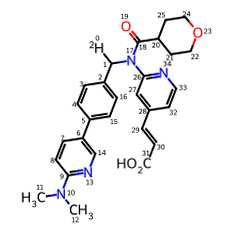 [2H]C(c1ccc(-c2ccc(N(C)C)nc2)cc1)N(C(=O)C1CCOCC1)c1cc(C=CC(=O)O)ccn1